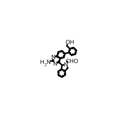 Nc1nc(C2c3ccccc3CN2C=O)c2cc(-c3ccccc3CO)ccc2n1